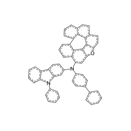 c1ccc(-c2ccc(N(c3ccc4c5ccccc5n(-c5ccccc5)c4c3)c3cc4oc5ccc6ccc7cccc8c7c6c5c4c4c-8cccc34)cc2)cc1